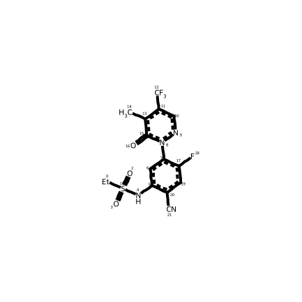 CCS(=O)(=O)Nc1cc(-n2ncc(C(F)(F)F)c(C)c2=O)c(F)cc1C#N